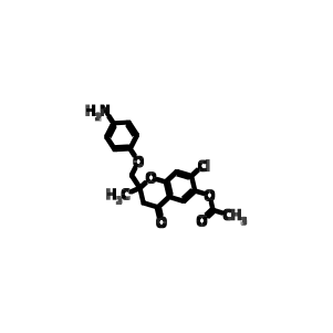 CC(=O)Oc1cc2c(cc1Cl)OC(C)(COc1ccc(N)cc1)CC2=O